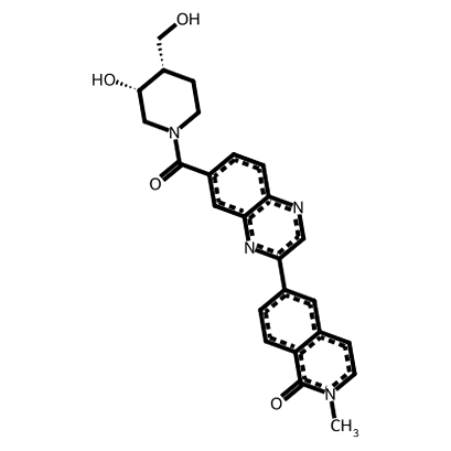 Cn1ccc2cc(-c3cnc4ccc(C(=O)N5CC[C@@H](CO)[C@@H](O)C5)cc4n3)ccc2c1=O